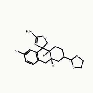 NC1=NC2(CS1)c1cc(Br)ccc1C[C@H]1CC(C3OCCO3)CC[C@H]12